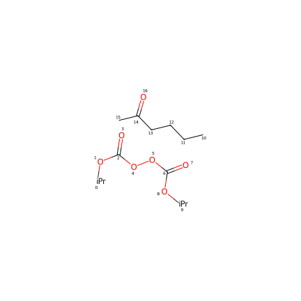 CC(C)OC(=O)OOC(=O)OC(C)C.CCCCC(C)=O